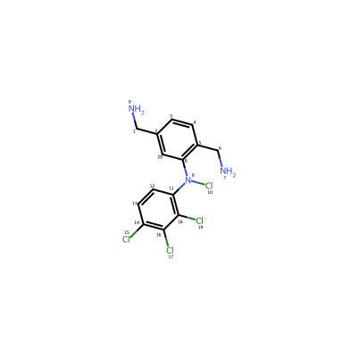 NCc1ccc(CN)c(N(Cl)c2ccc(Cl)c(Cl)c2Cl)c1